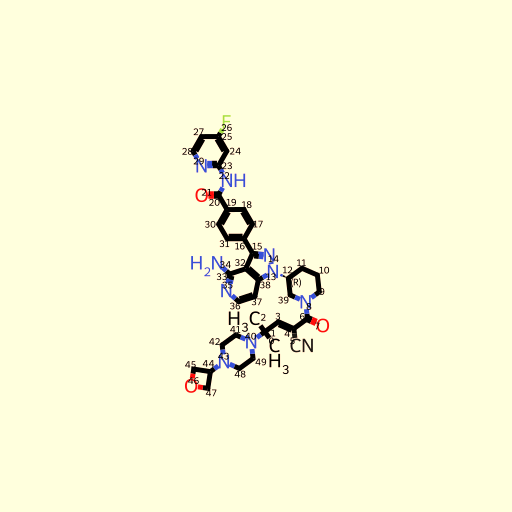 CC(C)(C=C(C#N)C(=O)N1CCC[C@@H](n2nc(-c3ccc(C(=O)Nc4cc(F)ccn4)cc3)c3c(N)nccc32)C1)N1CCN(C2COC2)CC1